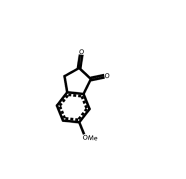 COc1ccc2c(c1)C(=O)C(=O)C2